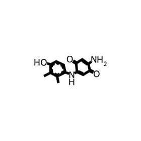 Cc1c(O)ccc(NC2=CC(=O)C(N)=CC2=O)c1C